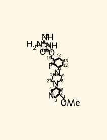 COCc1cncc(N2CCN(c3cccc(COC(=O)NC(=N)N)c3F)CC2)c1